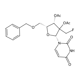 CC(=O)O[C@H]1[C@@H](COCc2ccccc2)O[C@@H](n2ccc(=O)[nH]c2=O)C1(CF)OC(C)=O